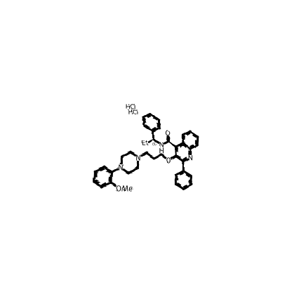 CC[C@H](NC(=O)c1c(OCCCN2CCN(c3ccccc3OC)CC2)c(-c2ccccc2)nc2ccccc12)c1ccccc1.Cl.Cl